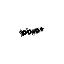 COc1cc2sc3c(c2cc1F)CCN(CC(=O)N1CCN(C2CCC2)CC1)C3